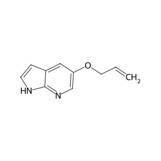 C=CCOc1cnc2[nH]ccc2c1